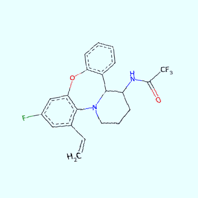 C=Cc1cc(F)cc2c1N1CCCC(NC(=O)C(F)(F)F)C1c1ccccc1O2